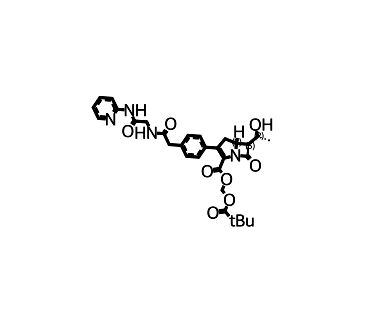 C[C@@H](O)[C@H]1C(=O)N2C(C(=O)OCOC(=O)C(C)(C)C)=C(c3ccc(CC(=O)NCC(=O)Nc4ccccn4)cc3)C[C@H]12